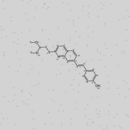 COC(CSc1ccc2ccc(/C=C/c3ccc(O)cc3)cc2n1)OC